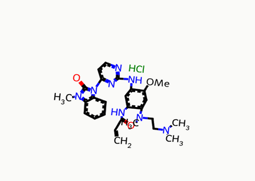 C=CC(=O)Nc1cc(Nc2nccc(-n3c(=O)n(C)c4ccccc43)n2)c(OC)cc1N(C)CCN(C)C.Cl